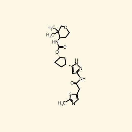 Cc1ncc(CC(=O)Nc2cc([C@@H]3CC[C@H](OC(=O)N[C@@H]4CCOCC4(C)C)C3)[nH]n2)s1